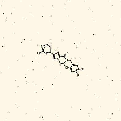 CC1Cn2cc(-c3ccnc(Cl)n3)nc2C(=O)N1Cc1ccc(F)c(F)c1